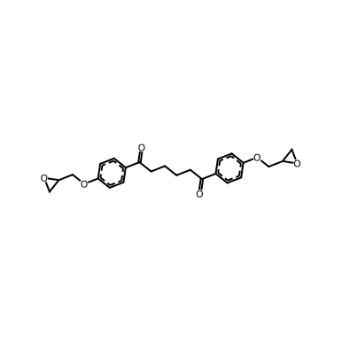 O=C(CCCCC(=O)c1ccc(OCC2CO2)cc1)c1ccc(OCC2CO2)cc1